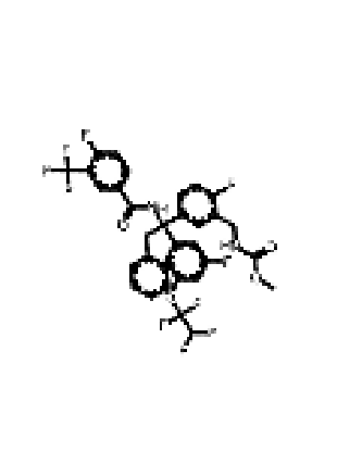 COC(=O)NCc1cc(C(Cc2ccccc2)(NC(=O)c2ccc(F)c(C(F)(F)F)c2)c2cc(F)cc(OC(F)(F)C(F)F)c2)ccc1F